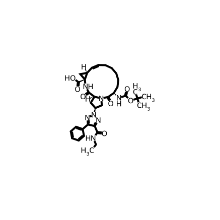 CCNC(=O)c1nn([C@H]2C[C@H]3C(=O)N[C@]4(C(=O)O)C[C@H]4/C=C\CCCCC[C@H](NC(=O)OC(C)(C)C)C(=O)N3C2)nc1-c1ccccc1